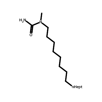 CCCCCCCCCCCCCCCN(C)C(N)=O